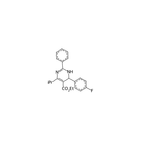 CCOC(=O)C1=C(C(C)C)N=C(c2ccccc2)NC1c1ccc(F)cc1